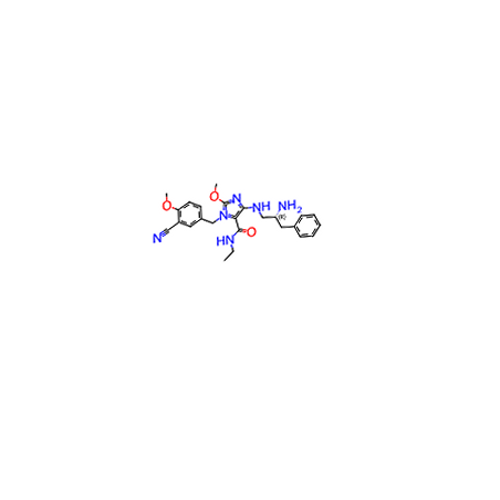 CCNC(=O)c1c(NC[C@H](N)Cc2ccccc2)nc(OC)n1Cc1ccc(OC)c(C#N)c1